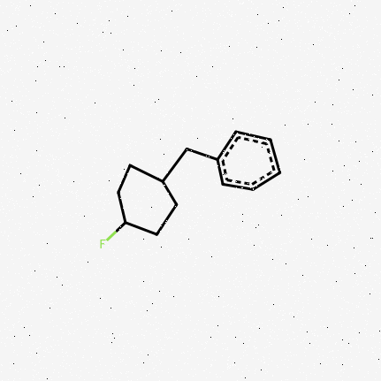 FC1CCC(Cc2ccccc2)CC1